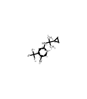 CC(C)(Nc1cc(C(F)(F)F)c(Br)cn1)C1CC1